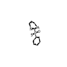 O=S(=S)(c1ccccc1)c1ncccn1